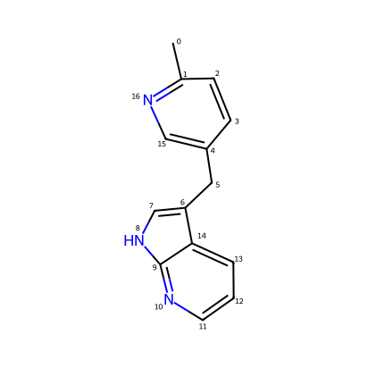 Cc1ccc(Cc2c[nH]c3ncccc23)cn1